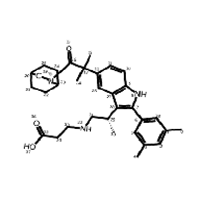 Cc1cc(C)cc(-c2[nH]c3ccc(C(C)(C)C(=O)N4CC5CCC4CC5)cc3c2[C@H](C)CNCCC(=O)O)c1